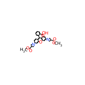 COC(=O)C1CN(c2ccc3c(-c4ccccc4C(=O)O)c4ccc(=[N+]5CC(C(=O)OC)C5)cc-4oc3c2)C1